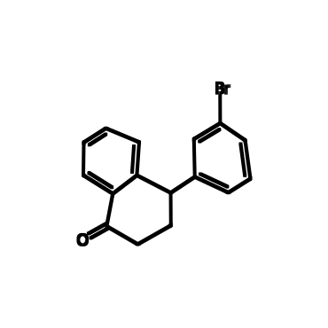 O=C1CCC(c2cccc(Br)c2)c2ccccc21